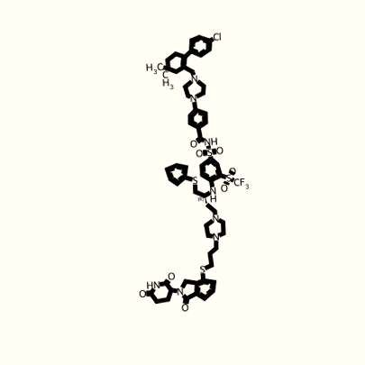 CC1(C)CCC(c2ccc(Cl)cc2)=C(CN2CCN(c3ccc(C(=O)NS(=O)(=O)c4ccc(N[C@H](CCN5CCN(CCCSc6cccc7c6CN(C6CCC(=O)NC6=O)C7=O)CC5)CSc5ccccc5)c(S(=O)(=O)C(F)(F)F)c4)cc3)CC2)C1